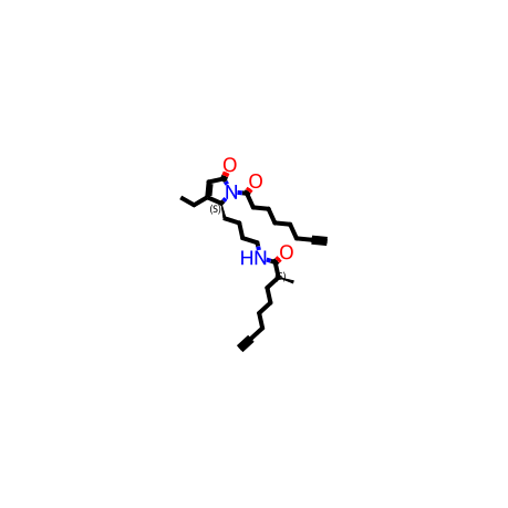 C#CCCCCCC(=O)N1C(=O)C=C(CC)[C@@H]1CCCCNC(=O)[C@@H](C)CCCCC#C